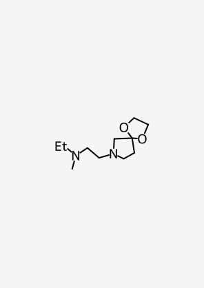 CCN(C)CCN1CCC2(C1)OCCO2